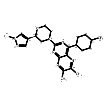 Cc1nc2nc(N3CCO[C@H](c4cnn(C)c4)C3)nc(C3CCC(C(F)(F)F)CC3)c2nc1C